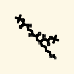 CC(C)(C)OC(=O)NCCNC(=O)C[C@H](CCCCN)NC(=O)OC(C)(C)C